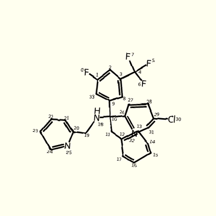 Fc1cc(C(F)(F)F)cc(C(Cc2ccccc2)(NCc2ccccn2)c2ccc(Cl)cn2)c1